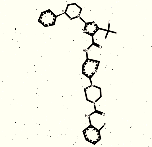 O=C(Nc1ccc(N2CCN(C(=O)Nc3ccccc3F)CC2)nc1)c1oc(N2CCC[C@H](c3ccccc3)C2)nc1C(F)(F)F